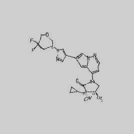 C[C@@H]1CN(c2ccnn3cc(-c4cnn([C@@H]5COCC(F)(F)C5)c4)cc23)C(=O)[C@]1(C#N)C1CC1